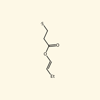 CCC=COC(=O)CC[S]